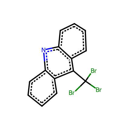 BrC(Br)(Br)c1c2ccccc2nc2ccccc12